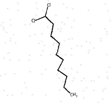 CCCCCCCCCC(Cl)Cl